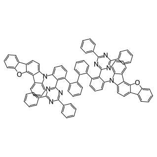 c1ccc(-c2nc(-c3ccccc3)nc(-c3c(-c4ccccc4-c4ccccc4-c4cccc(-n5c6ccccc6c6c7oc8ccccc8c7ccc65)c4-c4nc(-c5ccccc5)nc(-c5ccccc5)n4)cccc3-n3c4ccccc4c4c5oc6ccccc6c5ccc43)n2)cc1